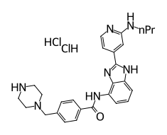 CCCNc1cc(-c2nc3c(NC(=O)c4ccc(CN5CCNCC5)cc4)cccc3[nH]2)ccn1.Cl.Cl